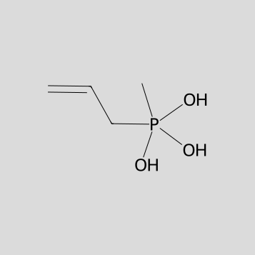 C=CCP(C)(O)(O)O